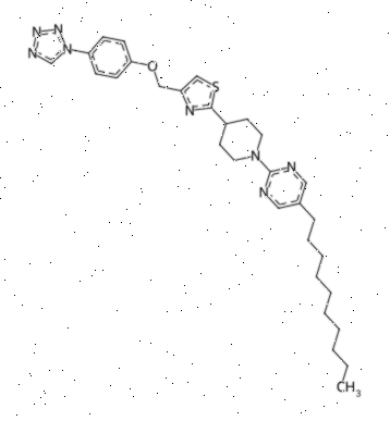 CCCCCCCCCCc1cnc(N2CCC(c3nc(COc4ccc(-n5cnnn5)cc4)cs3)CC2)nc1